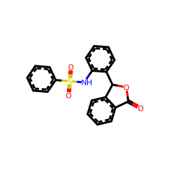 O=C1OC(c2ccccc2NS(=O)(=O)c2ccccc2)c2ccccc21